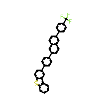 FC(F)(F)c1ccc(-c2ccc3cc(-c4ccc(-c5ccc6sc7ccccc7c6c5)cc4)ccc3c2)cc1